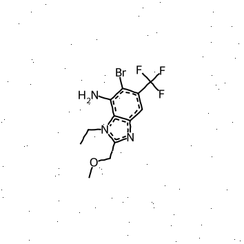 CCn1c(COC)nc2cc(C(F)(F)F)c(Br)c(N)c21